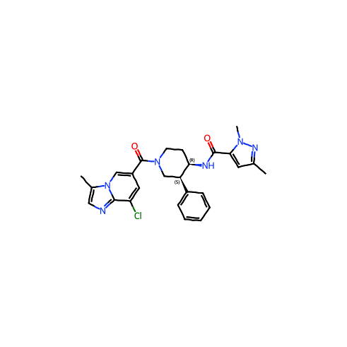 Cc1cc(C(=O)N[C@@H]2CCN(C(=O)c3cc(Cl)c4ncc(C)n4c3)C[C@@H]2c2ccccc2)n(C)n1